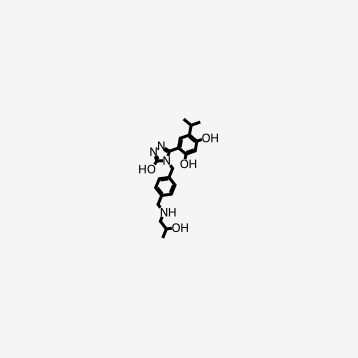 CC(O)CNCc1ccc(Cn2c(O)nnc2-c2cc(C(C)C)c(O)cc2O)cc1